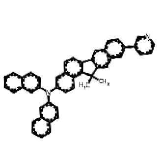 CC1(C)c2cc3cc(-c4cccnc4)ccc3cc2-c2ccc3cc(N(c4ccc5ccccc5c4)c4ccc5ccccc5c4)ccc3c21